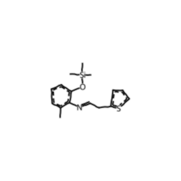 Cc1cccc(O[Si](C)(C)C)c1N=CCc1cccs1